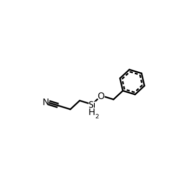 N#CCC[SiH2]OCc1ccccc1